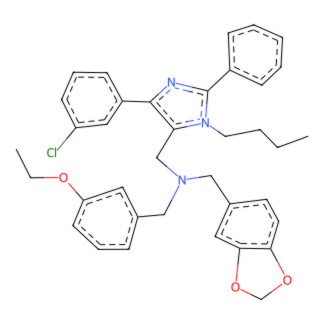 CCCCn1c(-c2ccccc2)nc(-c2cccc(Cl)c2)c1CN(Cc1cccc(OCC)c1)Cc1ccc2c(c1)OCO2